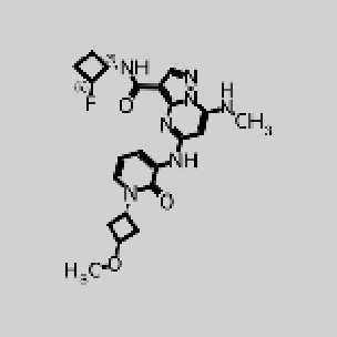 CNc1cc(Nc2cccn([C@H]3C[C@H](OC)C3)c2=O)nc2c(C(=O)N[C@H]3CC[C@@H]3F)cnn12